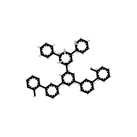 Cc1ccccc1-c1cccc(-c2cc(-c3cccc(-c4ccccc4C)c3)cc(-c3cc(-c4ccccn4)nc(-c4ccccc4)n3)c2)c1